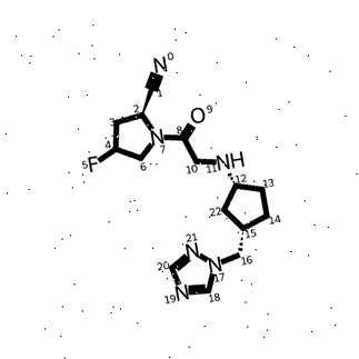 N#C[C@@H]1CC(F)CN1C(=O)CN[C@@H]1CC[C@H](Cn2cncn2)C1